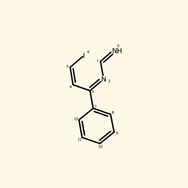 N=C/N=C(\C=C/I)c1ccccc1